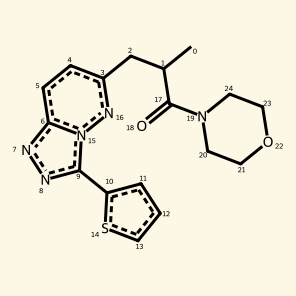 CC(Cc1ccc2nnc(-c3cccs3)n2n1)C(=O)N1CCOCC1